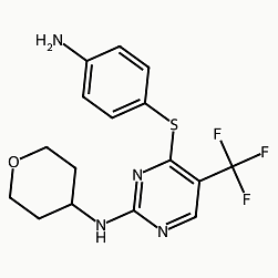 Nc1ccc(Sc2nc(NC3CCOCC3)ncc2C(F)(F)F)cc1